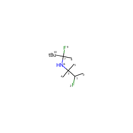 CC(F)C(C)(C)NC(C)(F)C(C)(C)C